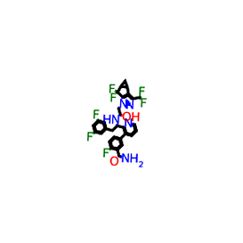 NC(=O)c1cc(-c2cccnc2C(Cc2cc(F)cc(F)c2)NC(O)Cn2nc(C(F)F)c3c2C(F)(F)C2CC32)ccc1F